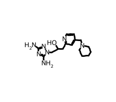 Nc1nc(N)n(CC(O)Cc2cc(CN3CCCCC3)ccn2)n1